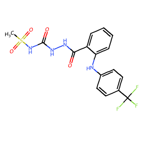 CS(=O)(=O)NC(=O)NNC(=O)c1ccccc1Nc1ccc(C(F)(F)F)cc1